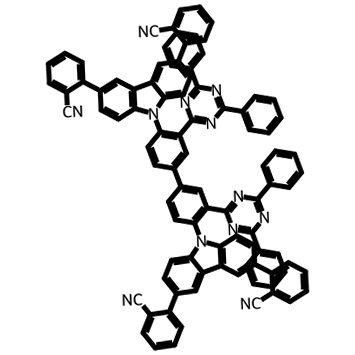 N#Cc1ccccc1-c1ccc2c(c1)c1cc(-c3ccccc3C#N)ccc1n2-c1ccc(-c2ccc(-n3c4ccc(-c5ccccc5C#N)cc4c4cc(-c5ccccc5C#N)ccc43)c(-c3nc(-c4ccccc4)nc(-c4ccccc4)n3)c2)cc1-c1nc(-c2ccccc2)nc(-c2ccccc2)n1